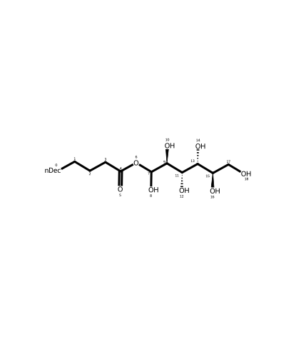 CCCCCCCCCCCCCC(=O)OC(O)[C@@H](O)[C@@H](O)[C@H](O)[C@H](O)CO